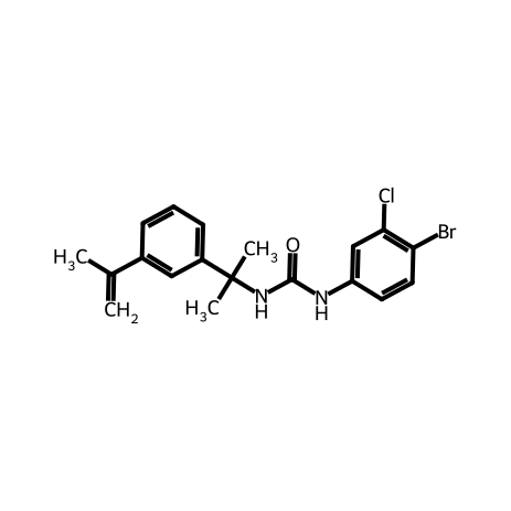 C=C(C)c1cccc(C(C)(C)NC(=O)Nc2ccc(Br)c(Cl)c2)c1